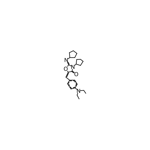 CCN(CC)c1ccc(/C=C2/O/C(=N/C3CCCC3)N(C3CCCC3)C2=O)cc1